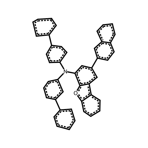 c1ccc(-c2ccc(N(c3cccc(-c4ccccc4)c3)c3cc(-c4ccc5ccccc5c4)cc4c3oc3ccccc34)cc2)cc1